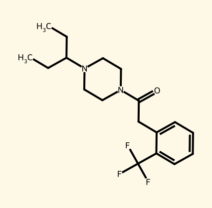 CCC(CC)N1CCN(C(=O)Cc2ccccc2C(F)(F)F)CC1